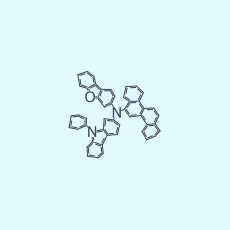 c1ccc(-n2c3ccccc3c3ccc(N(c4ccc5c(c4)oc4ccccc45)c4cc5c6ccccc6ccc5c5ccccc45)cc32)cc1